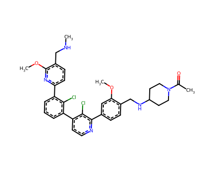 CNCc1ccc(-c2cccc(-c3ccnc(-c4ccc(CNC5CCN(C(C)=O)CC5)c(OC)c4)c3Cl)c2Cl)nc1OC